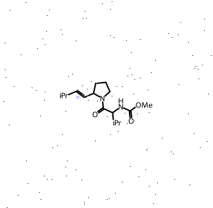 COC(=O)NC(C(=O)N1CCCC1/C=C/C(C)C)C(C)C